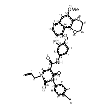 C=CCn1cc(C(=O)Nc2ccc(Oc3ccnc4cc(OC)c5c(c34)OCCO5)c(F)c2)c(=O)n(-c2ccc(F)cc2)c1=O